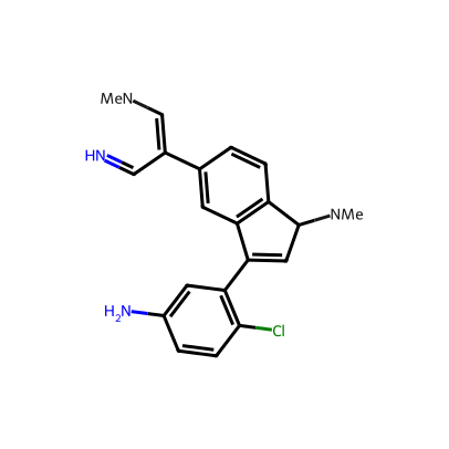 CN/C=C(\C=N)c1ccc2c(c1)C(c1cc(N)ccc1Cl)=CC2NC